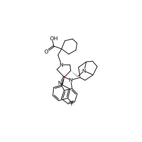 O=C(O)C1(CN2C[C@H](CN3C4CCC3CC(n3cnc5ccccc53)C4)[C@@H](c3cccc(F)c3)C2)CCCCC1